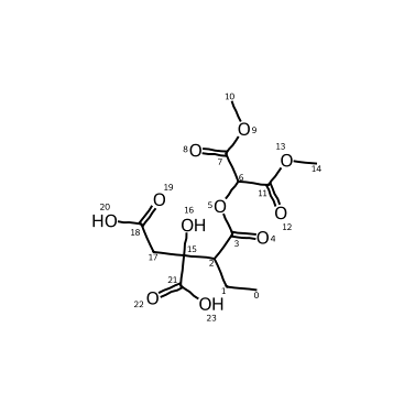 CCC(C(=O)OC(C(=O)OC)C(=O)OC)C(O)(CC(=O)O)C(=O)O